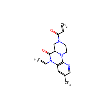 C=CC(=O)N1CCN2c3ncc(C(F)(F)F)cc3N(C=C)C(=O)C2C1